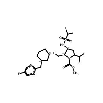 COC(=O)N1C(C(F)F)C[C@H](NS(=O)(=O)C(F)F)[C@@H]1CO[C@H]1CCC[C@H](Cc2ncc(F)cn2)C1